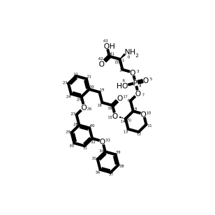 N[C@@H](COP(=O)(O)OCC1OCCC[C@@H]1OC(=O)CCc1ccccc1OCc1cccc(Oc2ccccc2)c1)C(=O)O